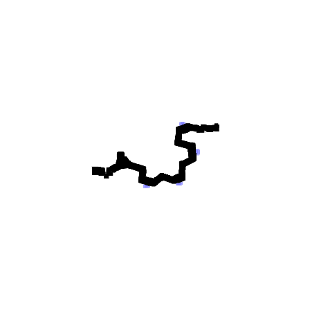 CCCCC/C=C\C/C=C\C/C=C\C/C=C\CC1OC1C(=O)O